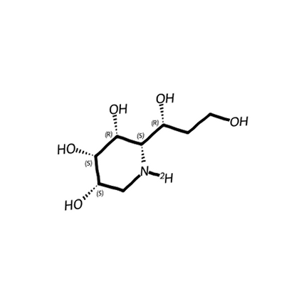 [2H]N1C[C@H](O)[C@H](O)[C@H](O)[C@@H]1[C@H](O)CCO